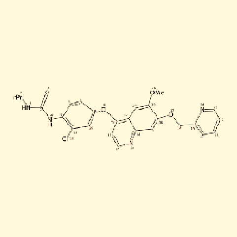 CCCNC(=O)Nc1ccc(Oc2ccnc3cc(OCc4ccccn4)c(OC)cc23)cc1Cl